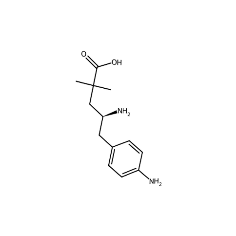 CC(C)(C[C@@H](N)Cc1ccc(N)cc1)C(=O)O